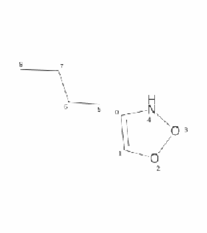 C1=COON1.CCCC